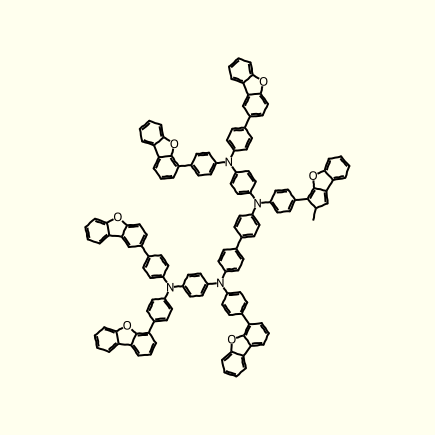 CC1C=c2c(oc3ccccc23)=C1c1ccc(N(c2ccc(-c3ccc(N(c4ccc(-c5cccc6c5oc5ccccc56)cc4)c4ccc(N(c5ccc(-c6ccc7oc8ccccc8c7c6)cc5)c5ccc(-c6cccc7c6oc6ccccc67)cc5)cc4)cc3)cc2)c2ccc(N(c3ccc(-c4ccc5oc6ccccc6c5c4)cc3)c3ccc(-c4cccc5c4oc4ccccc45)cc3)cc2)cc1